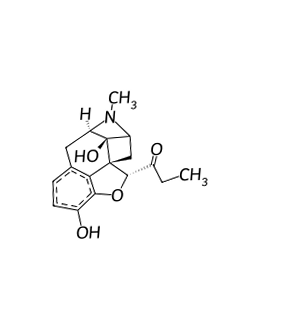 CCC(=O)[C@@H]1Oc2c(O)ccc3c2[C@@]12CC1N(C)[C@H](C3)[C@]12O